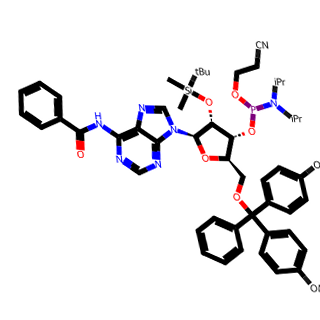 COc1ccc(C(OC[C@H]2O[C@@H](n3cnc4c(NC(=O)c5ccccc5)ncnc43)[C@H](O[Si](C)(C)C(C)(C)C)[C@@H]2OP(OCCC#N)N(C(C)C)C(C)C)(c2ccccc2)c2ccc(OC)cc2)cc1